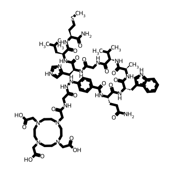 CSCC[C@H](NC(=O)[C@H](CC(C)C)NC(=O)[C@H](Cc1c[nH]cn1)NC(=O)CNC(=O)[C@@H](NC(=O)[C@H](C)NC(=O)[C@H](Cc1c[nH]c2ccccc12)NC(=O)[C@H](CCC(N)=O)NC(=O)c1ccc(NNC(=O)CNC(=O)CN2CCN(CC(=O)O)CCN(CC(=O)O)CCN(CC(=O)O)CC2)cc1)C(C)C)C(N)=O